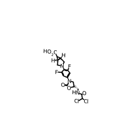 O=C(NC[C@H]1CN(c2cc(F)c(N3C[C@@H]4C(C(=O)O)[C@@H]4C3)c(F)c2)C(=O)O1)C(Cl)Cl